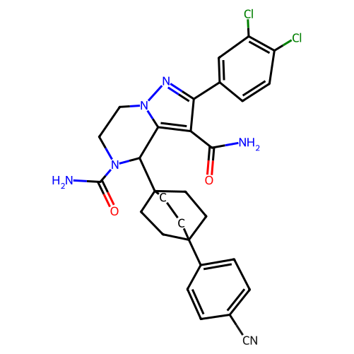 N#Cc1ccc(C23CCC(C4c5c(C(N)=O)c(-c6ccc(Cl)c(Cl)c6)nn5CCN4C(N)=O)(CC2)CC3)cc1